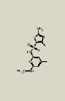 Cc1cc(NC(=O)O)nc(NS(=O)(=O)c2sc(N)nc2C)c1